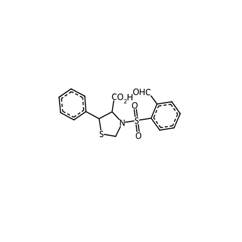 O=Cc1ccccc1S(=O)(=O)N1CSC(c2ccccc2)C1C(=O)O